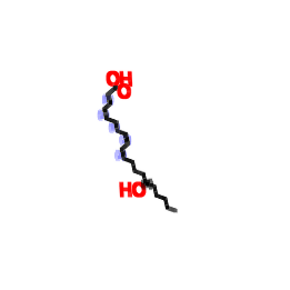 CCCCC[C@@H](O)CCC\C=C/C=C\C=C\C=C/C=C/C(=O)O